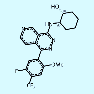 COc1cc(C(F)(F)F)c(F)cc1-c1nnc(N[C@@H]2CCCC[C@H]2O)c2cnccc12